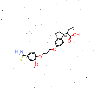 CCC(C(=O)O)[C@@H]1CCc2cc(OCCCOc3ccc(C(N)=S)cc3OC)ccc21